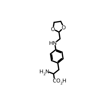 NC(Cc1ccc(NCC2OCCO2)cc1)C(=O)O